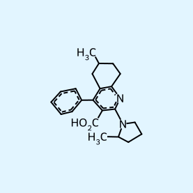 CC1CCc2nc(N3CCCC3C)c(C(=O)O)c(-c3ccccc3)c2C1